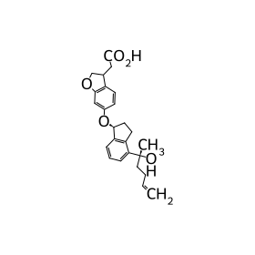 C=CCC[C@@](C)(O)c1cccc2c1CC[C@@H]2Oc1ccc2c(c1)OCC2CC(=O)O